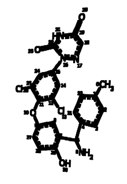 Cc1ccc(C(N)c2cc(Oc3c(Cl)cc(-n4ncc(=O)[nH]c4=O)cc3Cl)ccc2O)cc1